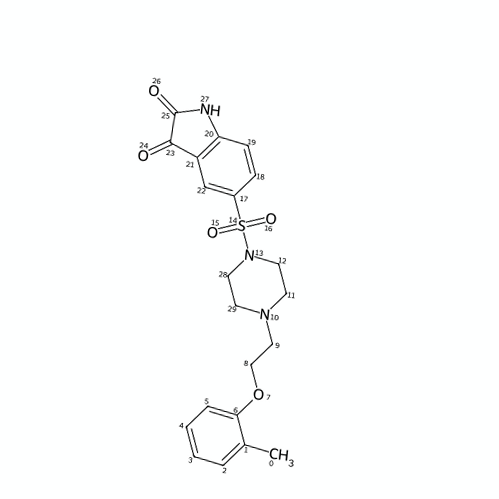 Cc1ccccc1OCCN1CCN(S(=O)(=O)c2ccc3c(c2)C(=O)C(=O)N3)CC1